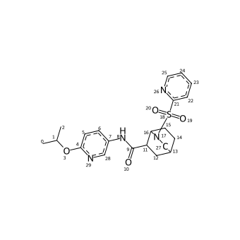 CC(C)Oc1ccc(NC(=O)C2CC3CCC2N(S(=O)(=O)c2ccccn2)C3)cn1